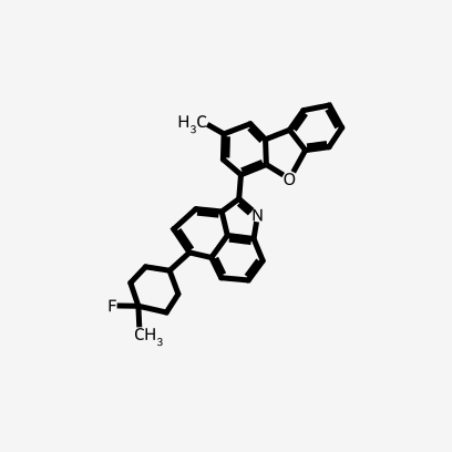 Cc1cc(C2=Nc3cccc4c(C5CCC(C)(F)CC5)ccc2c34)c2oc3ccccc3c2c1